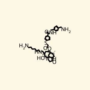 C[C@@H]1C[C@@H]2C(=O)CC[C@@]23C[C@]1(C)[C@H](OC(=O)CSc1ccc(C(=O)NCc2ccc(CN)cc2)cc1)C[C@](C)(CNCCCCCCN)[C@@H](O)[C@@H]3C